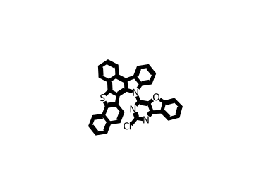 Clc1nc(-n2c3ccccc3c3c4ccccc4c4sc5c6ccccc6ccc5c4c32)c2oc3ccccc3c2n1